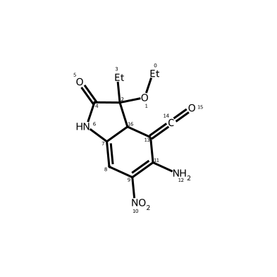 CCOC1(CC)C(=O)NC2=CC([N+](=O)[O-])=C(N)C(=C=O)C21